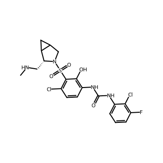 CNC[C@@H]1C2CC2CN1S(=O)(=O)c1c(Cl)ccc(NC(=O)Nc2cccc(F)c2Cl)c1O